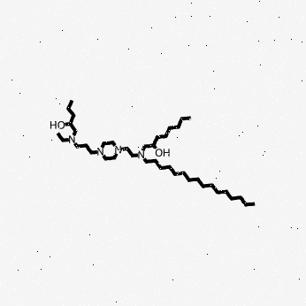 CCCCCCCCCCCCCCCCN(CCN1CCN(CCCN(CC)CC(O)CCC)CC1)CC(O)CCCCCC